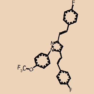 Fc1ccc(C=Cc2cc(C=Cc3ccc(F)cc3)n(-c3ccc(OC(F)(F)F)cc3)n2)cc1